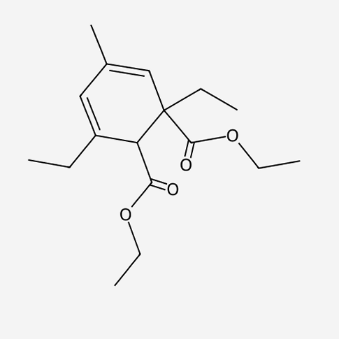 CCOC(=O)C1C(CC)=CC(C)=CC1(CC)C(=O)OCC